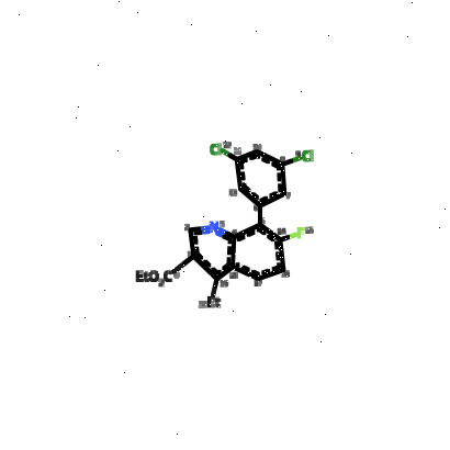 CCOC(=O)c1cnc2c(-c3cc(Cl)cc(Cl)c3)c(F)ccc2c1CC